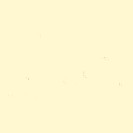 COc1cnccc1NC(=O)NCc1sc(C(C)(C)C)nc1-c1cccc(Cl)c1